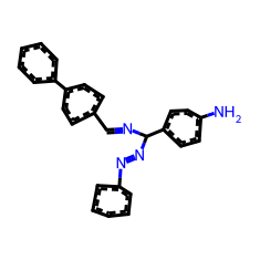 Nc1ccc(C(/N=C/c2ccc(-c3ccccc3)cc2)/N=N/c2ccccc2)cc1